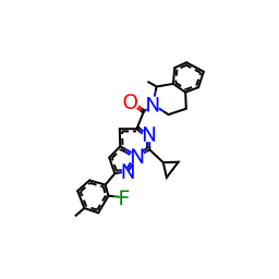 Cc1ccc(-c2cc3cc(C(=O)N4CCc5ccccc5C4C)nc(C4CC4)n3n2)c(F)c1